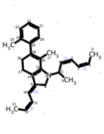 C/C=C\C=C/C(C)N1C/C(=C\C=C/C)C2=C1C(C)=C(c1ccccc1C)CC2